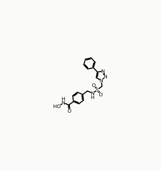 O=C(NO)c1ccc(CNS(=O)(=O)Cn2cc(-c3ccccc3)nn2)cc1